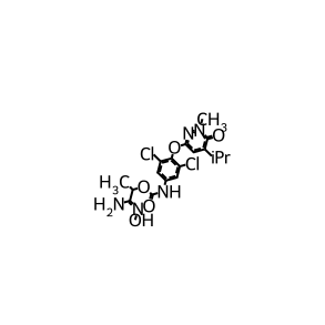 CC(OC(=O)Nc1cc(Cl)c(Oc2cc(C(C)C)c(=O)n(C)n2)c(Cl)c1)C(N)=NO